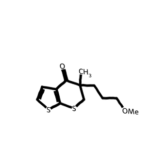 COCCCC1(C)CSc2sccc2C1=O